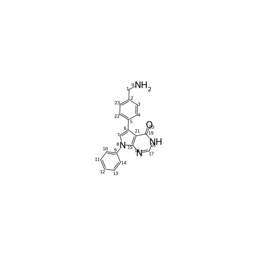 NCc1ccc(-c2cn(-c3ccccc3)c3nc[nH]c(=O)c23)cc1